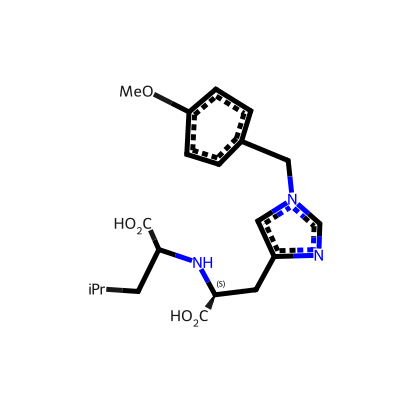 COc1ccc(Cn2cnc(C[C@H](NC(CC(C)C)C(=O)O)C(=O)O)c2)cc1